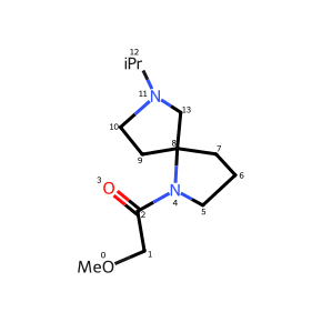 COCC(=O)N1CCCC12CCN(C(C)C)C2